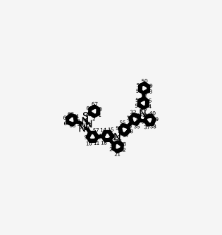 c1ccc(Sn2nc(-c3cccc(-c4ccc5c(c4)c4ccccc4n5-c4ccc(-c5ccc6c(c5)c5ccccc5n6-c5ccc(-c6ccccc6)cc5)cc4)c3)nc2-c2ccccc2)cc1